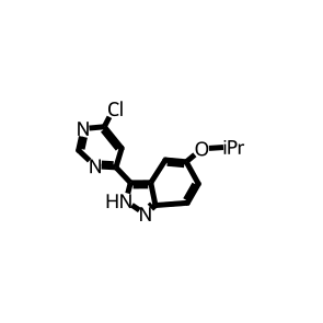 CC(C)Oc1ccc2n[nH]c(-c3cc(Cl)ncn3)c2c1